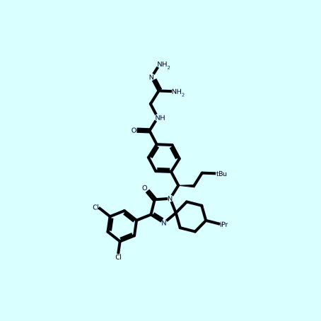 CC(C)C1CCC2(CC1)N=C(c1cc(Cl)cc(Cl)c1)C(=O)N2[C@H](CCC(C)(C)C)c1ccc(C(=O)NC/C(N)=N/N)cc1